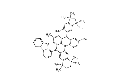 Cc1cc2c3c(c1)N(c1cccc4c1oc1ccccc14)c1cc4c(cc1B3c1ccc(C(C)(C)C)cc1N2c1cc2c(cc1C)C(C)(C)CC2(C)C)C(C)(C)CCC4(C)C